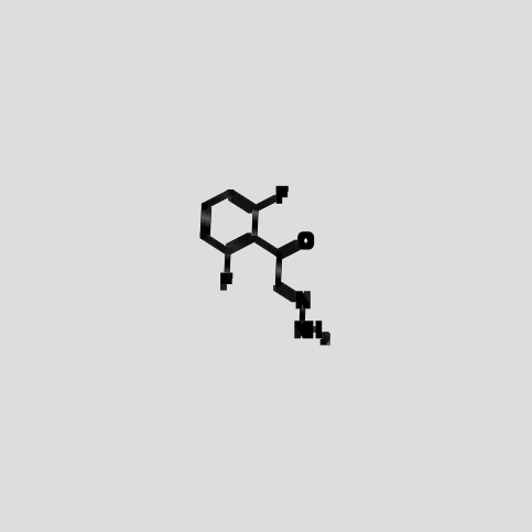 NN=CC(=O)c1c(F)cccc1F